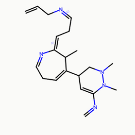 C=CC/N=C\C/C=C1/N=CCC=C(C2C=C(N=C)N(C)N(C)C2)C1C